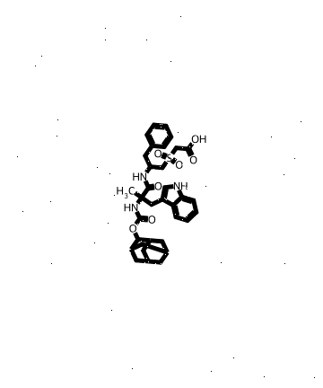 CC(Cc1c[nH]c2ccccc12)(NC(=O)OC1C2CC3CC(C2)CC1C3)C(=O)NC(Cc1ccccc1)CS(=O)(=O)CC(=O)O